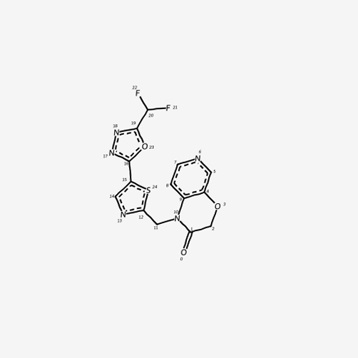 O=C1COc2cnccc2N1Cc1ncc(-c2nnc(C(F)F)o2)s1